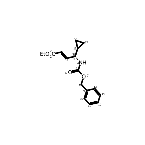 CCOC(=O)C=C[C@@H](NC(=O)OCc1ccccc1)C1CC1